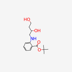 CC(C)(C)OC(=O)c1ccccc1NCC(O)CCO